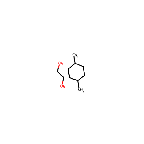 CC1CCC(C)CC1.OCCO